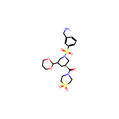 NCc1cccc(S(=O)(=O)N2CC(C3OCCCO3)C[C@H](C(=O)N3CCS(=O)(=O)CC3)C2)c1